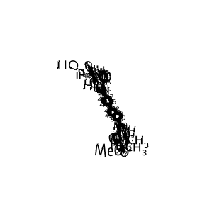 COC(=O)N[C@@H](C)[C@@H](C)C(=O)N1CCOCC1c1nc(-c2ccc3cc(-c4ccc(-c5c[nH]c([C@@H]6COCCN6C(=O)[C@@H](NC(=O)O)C(C)C)n5)cc4)ccc3c2)c[nH]1